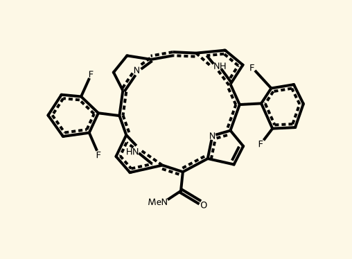 CNC(=O)c1c2nc(c(-c3c(F)cccc3F)c3ccc(cc4nc(c(-c5c(F)cccc5F)c5ccc1[nH]5)CC4)[nH]3)C=C2